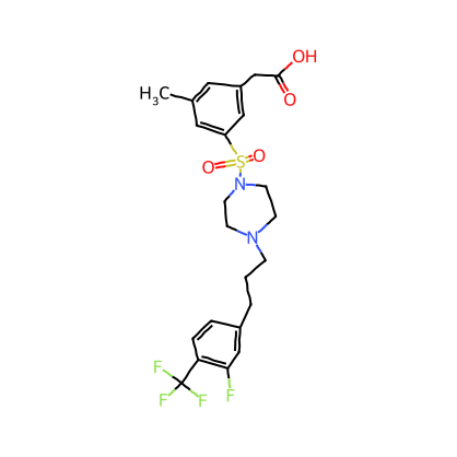 Cc1cc(CC(=O)O)cc(S(=O)(=O)N2CCN(CCCc3ccc(C(F)(F)F)c(F)c3)CC2)c1